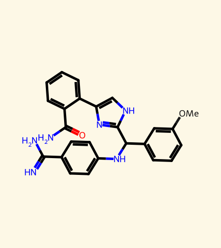 COc1cccc(C(Nc2ccc(C(=N)N)cc2)c2nc(-c3ccccc3C(N)=O)c[nH]2)c1